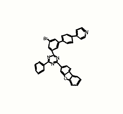 Brc1cc(-c2ccc(-c3ccncc3)cc2)cc(-c2nc(-c3ccccc3)nc(-c3ccc4c(c3)oc3ccccc34)n2)c1